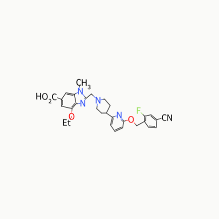 CCOc1cc(C(=O)O)cc2c1nc(CN1CCC(c3cccc(OCc4ccc(C#N)cc4F)n3)CC1)n2C